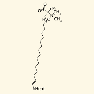 CCCCCCCC=CCCCCCCCCCCCCCCCC(CCC)(P(=O)=O)[N+](C)(C)C